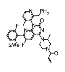 C=CC(=O)N1CCN(c2nc(=O)n(-c3c(C)ccnc3CP)c3nc(-c4c(F)cccc4SC)c(F)cc23)[C@@H](C)C1